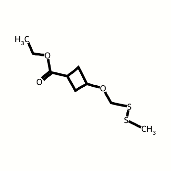 CCOC(=O)C1CC(OCSSC)C1